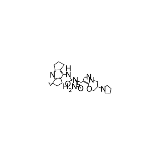 NS(=O)(=NC(=O)Nc1c2c(nc3c1CCC31CC1)CCC2)c1cnn2c1OCC(N1CCCC1)C2